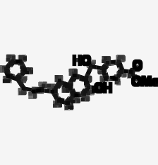 COC(=O)c1ccc(C(O)c2cc3cc(C#CCc4ccccc4)ccc3cc2O)cc1